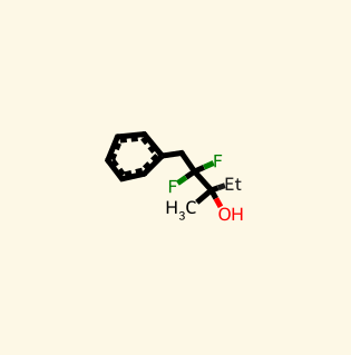 [CH2]CC(C)(O)C(F)(F)Cc1ccccc1